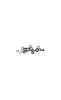 Cc1csc2nc(CC3=C(O)CC(CCc4ccc(OCC5CC5)c(Cl)c4)(C4CCCC4)OC3=O)cc(=O)n12